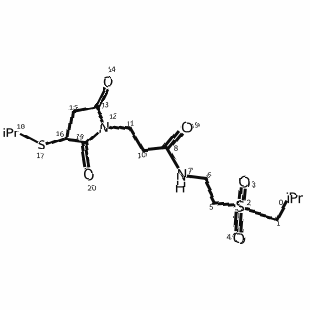 CC(C)CS(=O)(=O)CCNC(=O)CCN1C(=O)CC(SC(C)C)C1=O